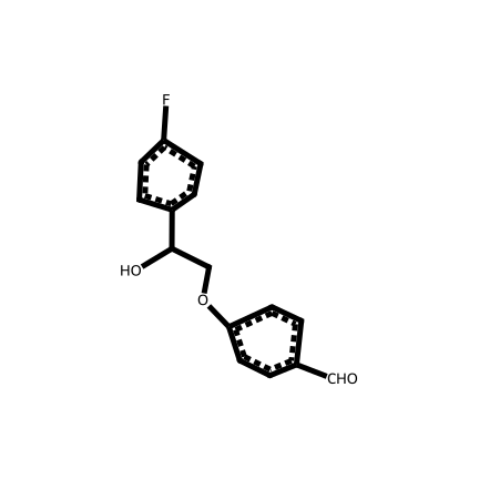 O=Cc1ccc(OCC(O)c2ccc(F)cc2)cc1